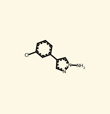 Nn1cc(-c2cccc(Cl)c2)cn1